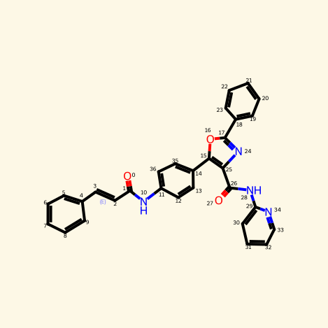 O=C(/C=C/c1ccccc1)Nc1ccc(-c2oc(-c3ccccc3)nc2C(=O)Nc2ccccn2)cc1